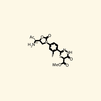 COC(=O)C1SC(c2ccc(N3CC([C@H](N)C(C)=O)OC3=O)cc2F)=NNC1=O